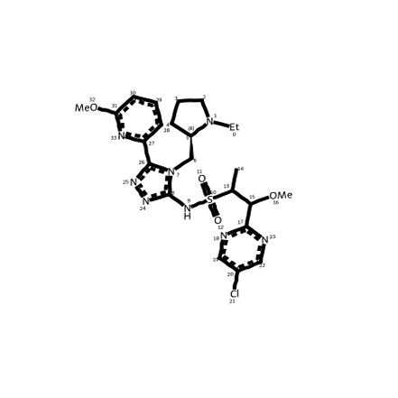 CCN1CCC[C@@H]1Cn1c(NS(=O)(=O)C(C)C(OC)c2ncc(Cl)cn2)nnc1-c1cccc(OC)n1